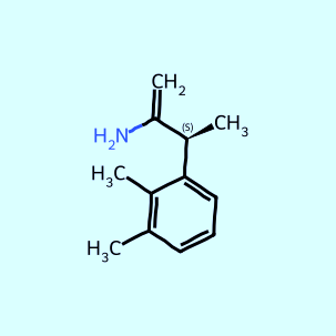 C=C(N)[C@@H](C)c1cccc(C)c1C